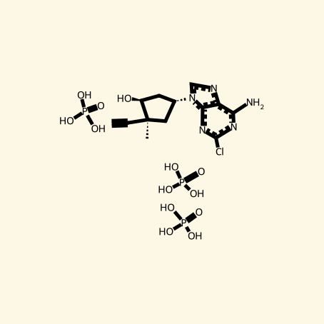 C#C[C@]1(C)C[C@@H](n2cnc3c(N)nc(Cl)nc32)C[C@@H]1O.O=P(O)(O)O.O=P(O)(O)O.O=P(O)(O)O